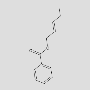 CC/C=C/COC(=O)c1ccccc1